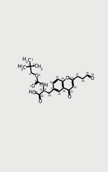 CC(C)(C)COC(=O)N[C@@H](Cc1ccc2oc(CCC=O)cc(=O)c2c1)C(=O)O